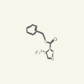 O=C(OCc1ccccc1)N1SOC[C@H]1C(F)(F)F